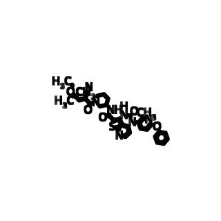 CCOC(C)(C)C=C(C#N)C(=O)N1CCCC(NC(=O)c2sc3nccc4c3c2NC(=O)N4c2ccc(Oc3ccccc3)nc2C)C1